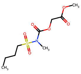 CCCCS(=O)(=O)N(C)C(=O)OCC(=O)OC